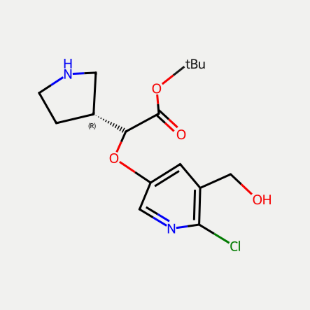 CC(C)(C)OC(=O)C(Oc1cnc(Cl)c(CO)c1)[C@@H]1CCNC1